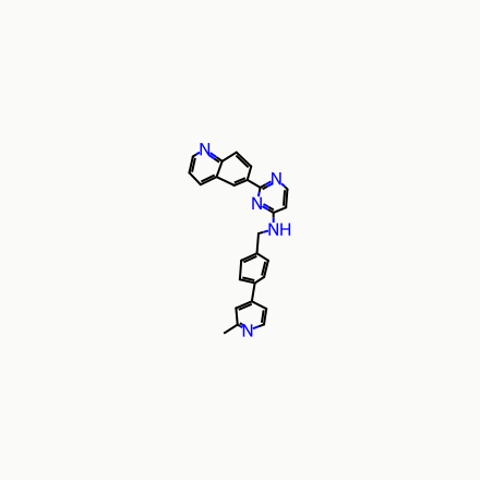 Cc1cc(-c2ccc(CNc3ccnc(-c4ccc5ncccc5c4)n3)cc2)ccn1